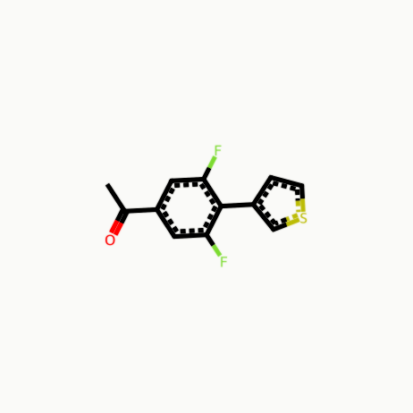 CC(=O)c1cc(F)c(-c2ccsc2)c(F)c1